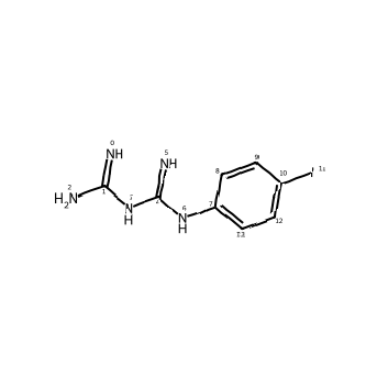 N=C(N)NC(=N)Nc1ccc(I)cc1